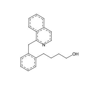 OCCCCc1ccccc1Cc1nccc2ccccc12